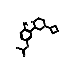 O=C(Cl)Oc1ccc([N+](=O)[O-])c(C2CN(C3COC3)CCN2)c1